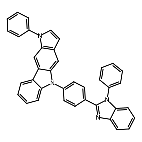 c1ccc(-n2ccc3cc4c(cc32)c2ccccc2n4-c2ccc(-c3nc4ccccc4n3-c3ccccc3)cc2)cc1